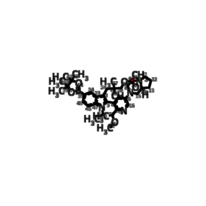 CCn1c(-c2cc(N3CCN4CCC[C@@H]4C3)cnc2[C@H](C)OC)c(CC(C)(C)COC(C)=O)c2cc(B3OC(C)(C)C(C)(C)O3)ccc21